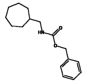 O=C(NCC1CCCCCC1)OCc1ccccc1